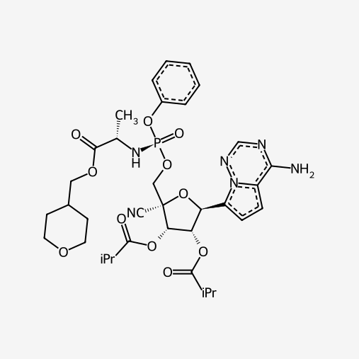 CC(C)C(=O)O[C@H]1[C@H](c2ccc3c(N)ncnn23)O[C@](C#N)(CO[P@](=O)(N[C@@H](C)C(=O)OCC2CCOCC2)Oc2ccccc2)[C@H]1OC(=O)C(C)C